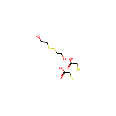 O=C(O)CS.O=C(O)CS.OCCSSCCO